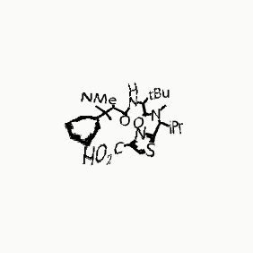 CNC(C(=O)NC(C(=O)N(C)C(c1nc(C(=O)O)cs1)C(C)C)C(C)(C)C)C(C)(C)c1ccccc1